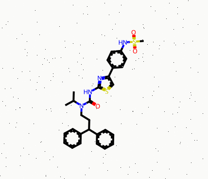 CC(C)N(CCC(c1ccccc1)c1ccccc1)C(=O)Nc1nc(-c2ccc(NS(C)(=O)=O)cc2)cs1